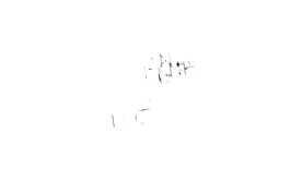 Cc1ccc(CCc2cc3c(s2)NC(=O)CN=C3c2ccccc2Cl)cc1